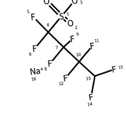 O=S(=O)([O-])C(F)(F)C(F)(F)C(F)(F)C(F)F.[Na+]